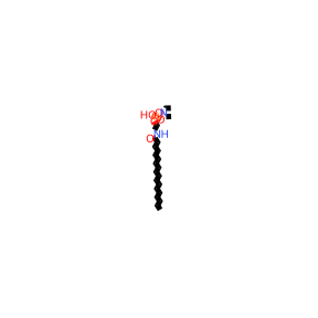 CCCCCCCCCCCCCCCCCC(=O)NCCOP(=O)(O)ON(CC)CC